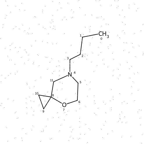 CCCCN1CCOC2(CC2)C1